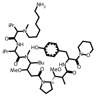 CCC(C)C(C(CC(=O)N1CCC[C@H]1C(OC)C(C)C(=O)NC(Cc1ccc(O)cc1)C(=O)N1CCCCO1)OC)N(C)C(=O)C(NC(=O)C(C(C)C)N(C)CCCCCCN)C(C)C